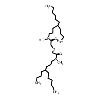 CCCCCCC(CCCC)CCCN(C)C(=O)COCC(=O)N(C)CCCC(CCCC)CCCCCC